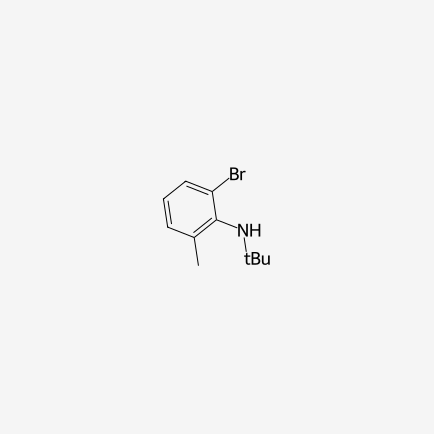 Cc1cccc(Br)c1NC(C)(C)C